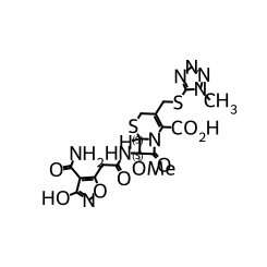 CO[C@@]1(NC(=O)Cc2onc(O)c2C(N)=O)C(=O)N2C(C(=O)O)=C(CSc3nnnn3C)CS[C@H]21